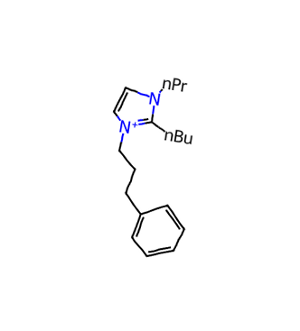 CCCCc1n(CCC)cc[n+]1CCCc1ccccc1